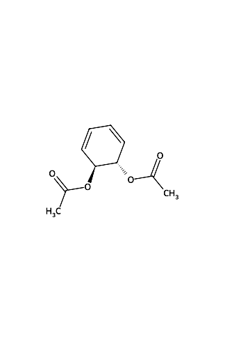 CC(=O)O[C@H]1C=CC=C[C@@H]1OC(C)=O